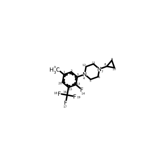 Cc1cc(N2CCN(C3CC3)CC2)c(F)c(C(F)(F)F)c1